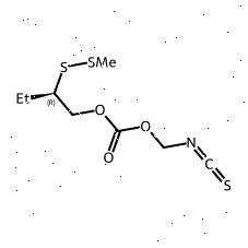 CC[C@H](COC(=O)OCN=C=S)SSC